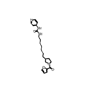 O=C(NCCCCCCCC1CCN(C(=O)c2ccco2)C1)Nc1ccncc1